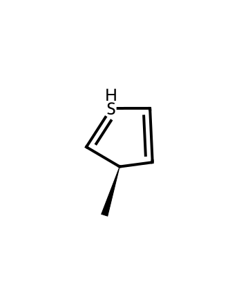 C[C@@H]1C=C[SH]=C1